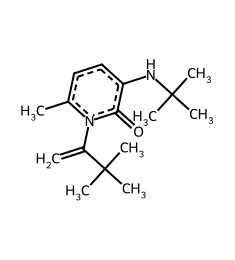 C=C(n1c(C)ccc(NC(C)(C)C)c1=O)C(C)(C)C